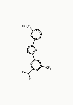 O=C(O)c1cccc(-c2nc(-c3cc(C(F)F)cc(C(F)(F)F)c3)cs2)c1